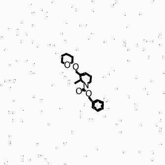 CC1C(COC2CCCCO2)=CCCN1C(=O)OCc1ccccc1